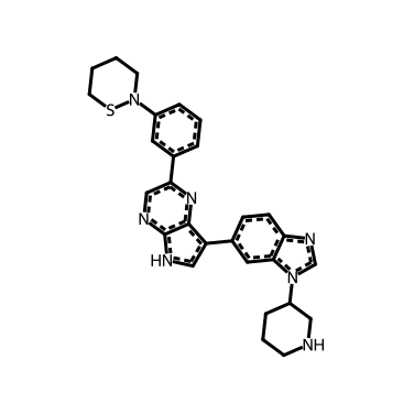 c1cc(-c2cnc3[nH]cc(-c4ccc5ncn(C6CCCNC6)c5c4)c3n2)cc(N2CCCCS2)c1